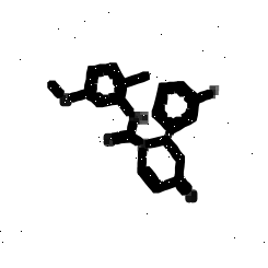 COc1ccc(C)c(NC(=O)N2C=CC(=O)C[C@H]2c2cccc(F)c2)c1